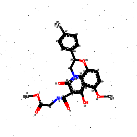 CC(C)(C)OC(=O)CNC(=O)c1c(O)c2c(OC(F)(F)F)ccc3c2n(c1=O)CC(c1ccc(C(F)(F)F)cc1)O3